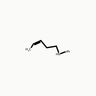 C/C=C\CCNCCC